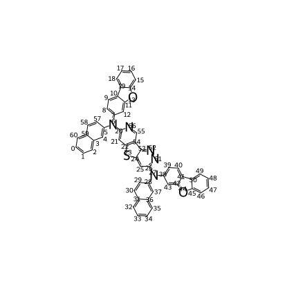 c1ccc2cc(N(c3ccc4c(c3)oc3ccccc34)c3cc4sc5cc(N(c6ccc7ccccc7c6)c6ccc7c(c6)oc6ccccc67)nnc5c4cn3)ccc2c1